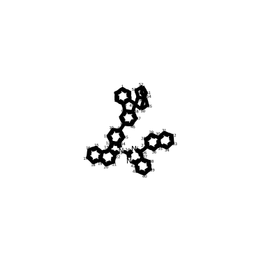 c1ccc2c(c1)-c1cc(-c3ccc4c5c6ccccc6ccc5n(-c5nc(-c6ccc7ccccc7c6)c6ccccc6n5)c4c3)ccc1C21C2CC3CC(C2)C1C3